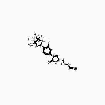 CC1(C)OB(c2ccc(N3C[C@H](CBOC=N)OC3=O)cc2F)OC1(C)C